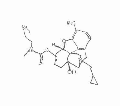 COc1ccc2c3c1O[C@H]1C(OC(=S)N(C)CCN)=CC[C@@]4(O)C(C2)N(CC2CC2)CC[C@]314